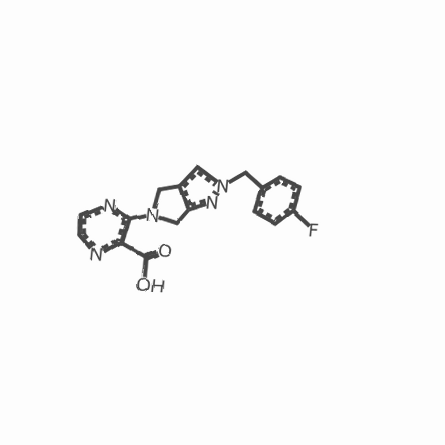 O=C(O)c1nccnc1N1Cc2cn(Cc3ccc(F)cc3)nc2C1